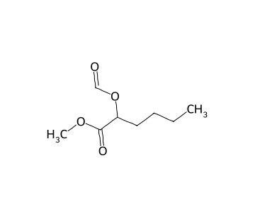 CCCCC(OC=O)C(=O)OC